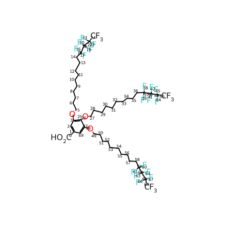 O=C(O)c1cc(OCCCCCCCCCCC(F)(F)C(F)(F)C(F)(F)C(F)(F)F)c(OCCCCCCCCCCC(F)(F)C(F)(F)C(F)(F)C(F)(F)F)c(OCCCCCCCCCCC(F)(F)C(F)(F)C(F)(F)C(F)(F)F)c1